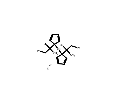 CCC(C)(CC(C)C)[C]1([Zr+2][C]2(C(C)(CC)CC(C)C)C=CC=C2)C=CC=C1.[Cl-].[Cl-]